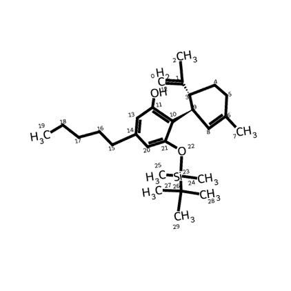 C=C(C)[C@@H]1CCC(C)=C[C@H]1c1c(O)cc(CCCCC)cc1O[Si](C)(C)C(C)(C)C